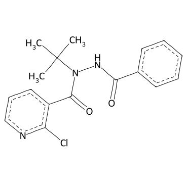 CC(C)(C)N(NC(=O)c1ccccc1)C(=O)c1cccnc1Cl